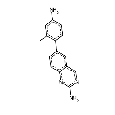 Cc1cc(N)ccc1-c1ccc2nc(N)ncc2c1